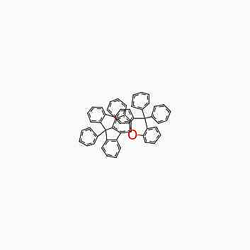 c1ccc(C2(c3ccccc3)c3ccccc3Oc3cc(-c4ccccc4C4(c5ccccc5)c5ccccc5-c5ccc6ccccc6c54)ccc32)cc1